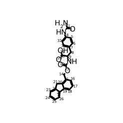 NC(=O)Nc1ccc(CC(NC(=O)OCc2cccc3c2Cc2ccccc2-3)C(=O)O)cc1